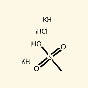 CS(=O)(=O)O.Cl.[KH].[KH]